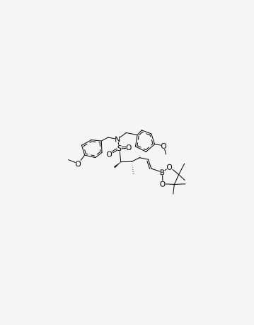 COc1ccc(CN(Cc2ccc(OC)cc2)S(=O)(=O)[C@H](C)[C@@H](C)C/C=C/B2OC(C)(C)C(C)(C)O2)cc1